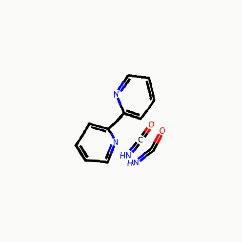 N=C=O.N=C=O.c1ccc(-c2ccccn2)nc1